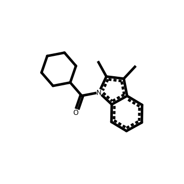 Cc1c(C)n(C(=O)C2CCCCC2)c2ccccc12